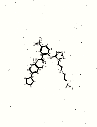 COCCOCCn1nnnc1Sc1ccc([N+](=O)[O-])cc1C(=O)Nc1ncc(C2CCCC2)cc1F